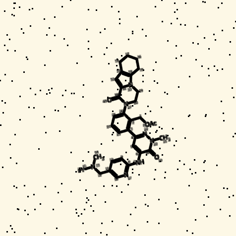 CC(=O)OCc1c(-c2cc(Nc3ccc(CN(C)C(C)C)cn3)c(=O)n(C)n2)cccc1N1CCn2c(cc3c2CCCC3)C1=O